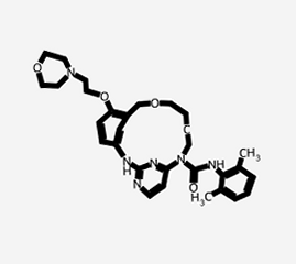 Cc1cccc(C)c1NC(=O)N1CCCCOCc2cc(ccc2OCCN2CCOCC2)Nc2nccc1n2